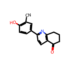 N#Cc1cc(-c2ccc3c(n2)CCCC3=O)ccc1O